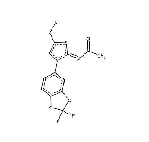 CC(=O)N=c1sc(CCl)cn1-c1ccc2c(c1)OC(F)(F)O2